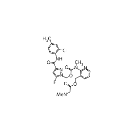 CNCC(=O)OCc1cccnc1N(C)C(=O)OCn1nc(C(=O)Nc2ccc(C)cc2Cl)cc1F